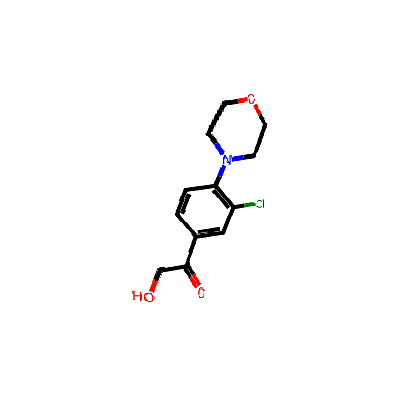 O=C(CO)c1ccc(N2CCOCC2)c(Cl)c1